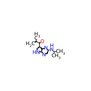 C=C(C)C(=O)c1c[nH]c2ncc(NC(C)C)nc12